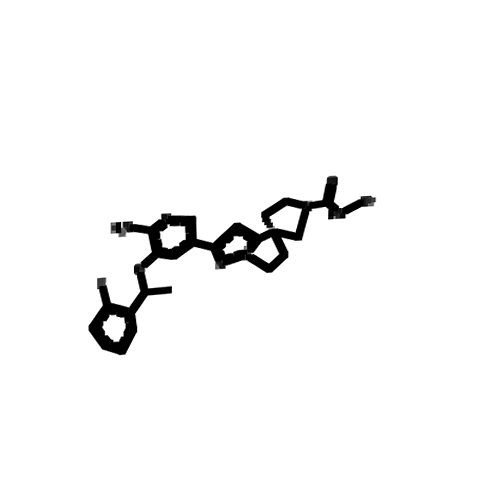 CC(C)NC(=O)N1CC[C@@]2(CCn3nc(-c4cnc(N)c(OC(C)c5ccccc5F)c4)cc32)C1